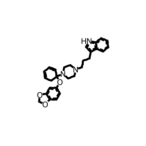 C1=CCC(Oc2ccc3c(c2)OCO3)(N2CCN(CCCc3c[nH]c4ccccc34)CC2)C=C1